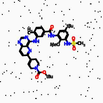 COc1c(NC(=O)c2ccc(C)c(Nc3ncnc4ccc(C5=CCN(C(=O)OC(C)(C)C)CC5)nc34)c2)cc(C(C)(C)C)cc1NS(C)(=O)=O